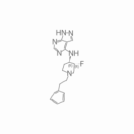 F[C@@H]1CN(CCc2ccccc2)CC[C@H]1Nc1ncnc2[nH]ncc12